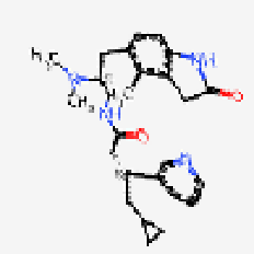 Cc1c(C[C@@H](CNC(=O)C[C@@H](CC2CC2)c2cccnc2)N(C)C)ccc2c1CC(=O)N2